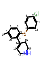 Cc1ccc(Sc2ccc(Cl)cc2)c(C2=CCNCC2)c1